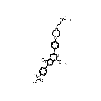 COCCN1CCN(c2ccc(-c3cc4c(cc(-c5ccc(S(C)(=O)=O)cc5)n4C)c(C)n3)cc2)CC1